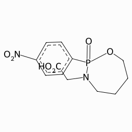 O=C(O)CN1CCCCOP1(=O)c1ccc([N+](=O)[O-])cc1